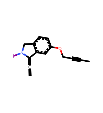 C=C=C1c2cc(OCC#CC)ccc2CN1I